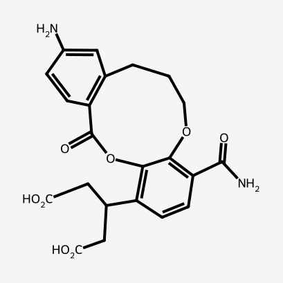 NC(=O)c1ccc(C(CC(=O)O)CC(=O)O)c2c1OCCCc1cc(N)ccc1C(=O)O2